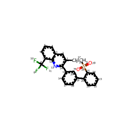 Cc1cc2cccc(C(F)(F)F)c2nc1-c1cccc(-c2ccccc2S(C)(=O)=O)c1